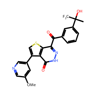 COc1cncc(-c2csc3c(C(=O)c4cccc(C(C)(O)C(F)(F)F)c4)n[nH]c(=O)c23)c1